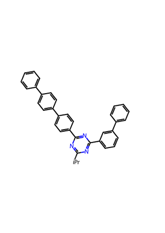 CC(C)c1nc(-c2ccc(-c3ccc(-c4ccccc4)cc3)cc2)nc(-c2cccc(-c3ccccc3)c2)n1